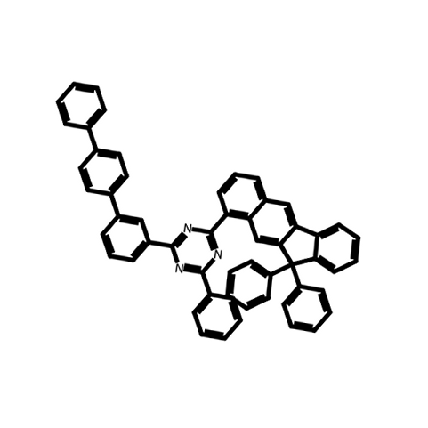 c1ccc(-c2ccc(-c3cccc(-c4nc(-c5ccccc5)nc(-c5cccc6cc7c(cc56)C(c5ccccc5)(c5ccccc5)c5ccccc5-7)n4)c3)cc2)cc1